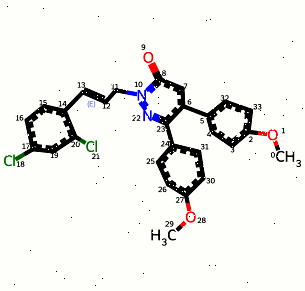 COc1ccc(-c2cc(=O)n(C/C=C/c3ccc(Cl)cc3Cl)nc2-c2ccc(OC)cc2)cc1